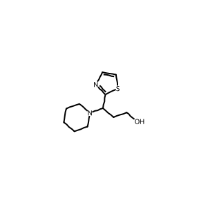 OCCC(c1nccs1)N1CCCCC1